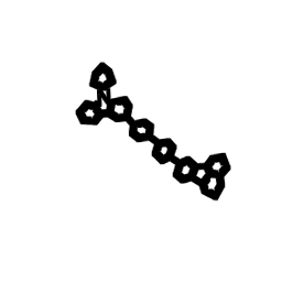 c1ccc(-n2c3ccccc3c3cc(-c4ccc(-c5ccc(-c6ccc7c(c6)-c6cccc8cccc-7c68)cc5)cc4)ccc32)cc1